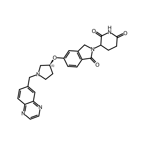 O=C1CCC(N2Cc3cc(O[C@H]4CCN(Cc5ccc6nccnc6c5)C4)ccc3C2=O)C(=O)N1